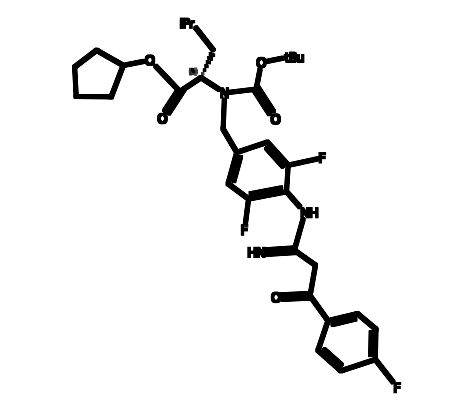 CC(C)C[C@@H](C(=O)OC1CCCC1)N(Cc1cc(F)c(NC(=N)CC(=O)c2ccc(F)cc2)c(F)c1)C(=O)OC(C)(C)C